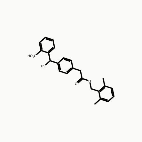 Cc1cccc(C)c1COC(=O)Cc1ccc(C(S)c2ccccc2C(=O)O)cc1